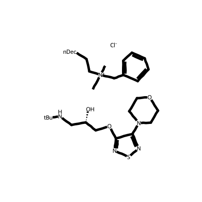 CC(C)(C)NC[C@H](O)COc1nsnc1N1CCOCC1.CCCCCCCCCCCC[N+](C)(C)Cc1ccccc1.[Cl-]